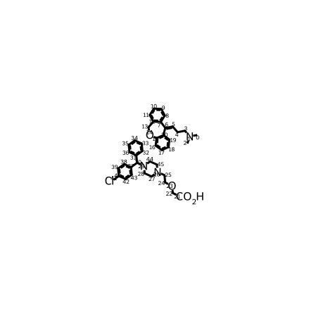 CN(C)CCC=C1c2ccccc2COc2ccccc21.O=C(O)COCCN1CCN(C(c2ccccc2)c2ccc(Cl)cc2)CC1